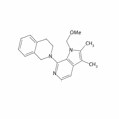 COCn1c(C)c(C)c2c[c]nc(N3CCc4ccccc4C3)c21